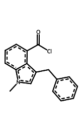 Cn1cc(Cc2ccccc2)c2c(C(=O)Cl)cccc21